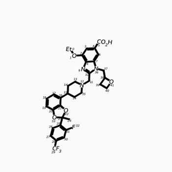 CCOc1cc(C(=O)O)cc2c1nc(CN1CCC(c3cccc4c3OC(C)(c3ccc(C(F)(F)F)cc3F)O4)CC1)n2CC1CCO1